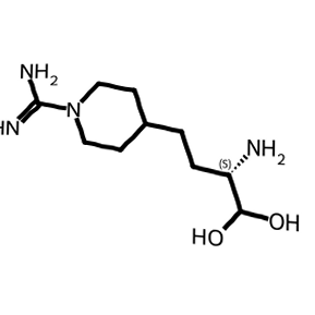 N=C(N)N1CCC(CC[C@H](N)C(O)O)CC1